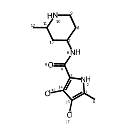 Cc1[nH]c(C(=O)NC2CCNC(C)C2)c(Cl)c1Cl